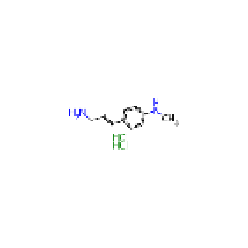 CNc1ccc(C=CCN)cc1.Cl.Cl